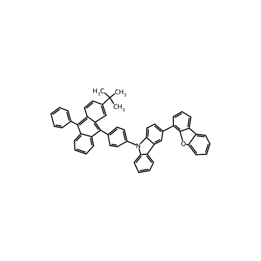 CC(C)(C)c1ccc2c(-c3ccccc3)c3ccccc3c(-c3ccc(-n4c5ccccc5c5cc(-c6cccc7c6oc6ccccc67)ccc54)cc3)c2c1